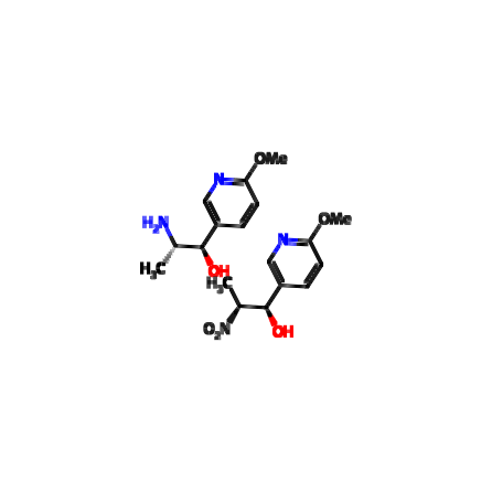 COc1ccc([C@@H](O)[C@H](C)N)cn1.COc1ccc([C@@H](O)[C@H](C)[N+](=O)[O-])cn1